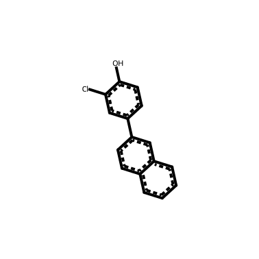 Oc1ccc(-c2ccc3ccccc3c2)cc1Cl